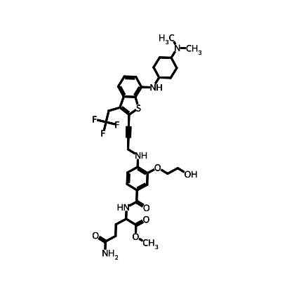 COC(=O)C(CCC(N)=O)NC(=O)c1ccc(NCC#Cc2sc3c(NC4CCC(N(C)C)CC4)cccc3c2CC(F)(F)F)c(OCCO)c1